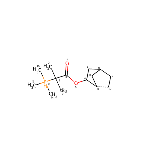 CC(C)(C)C(C)(C(=O)OC1CC2CCC1C2)[PH](C)(C)C